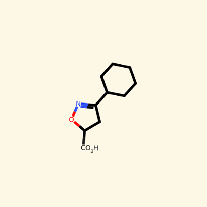 O=C(O)C1CC(C2CCCCC2)=NO1